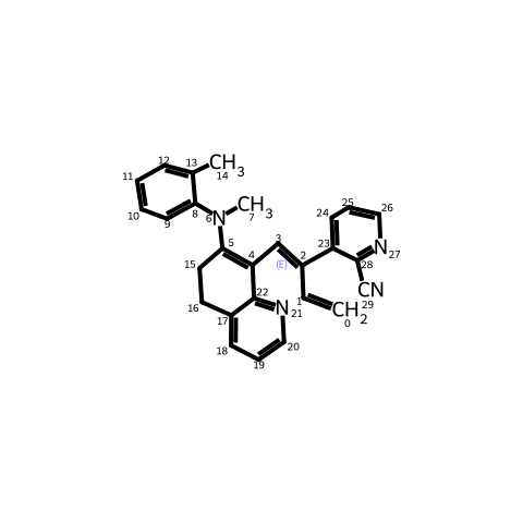 C=C/C(=C\C1=C(N(C)c2ccccc2C)CCc2cccnc21)c1cccnc1C#N